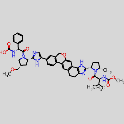 COC[C@H]1C[C@@H](c2ncc(-c3ccc4c(c3)COc3cc5c(cc3-4)CCc3nc([C@@H]4CC[C@H](C)N4C(=O)[C@@H](NC(=O)OC)C(C)C)[nH]c3-5)[nH]2)N(C(=O)[C@H](NC(=O)O)c2ccccc2)C1